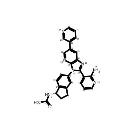 CC(=O)N[C@H]1CCc2cc(-n3c(-c4cccnc4N)nc4cc(-c5cccnc5)cnc43)ccc21